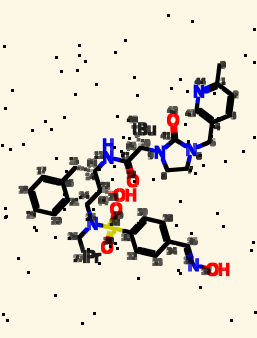 Cc1ccc(CN2CCN([C@H](C(=O)N[C@@H](Cc3ccccc3)[C@H](O)CN(CC(C)C)S(=O)(=O)c3ccc(C=NO)cc3)C(C)(C)C)C2=O)cn1